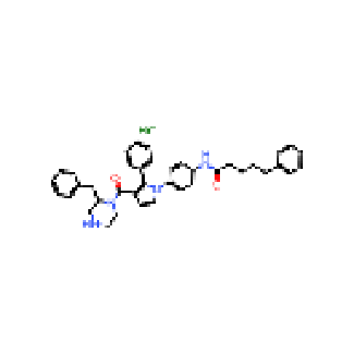 Cl.O=C(CCCCc1ccccc1)Nc1ccc(-n2ccc(C(=O)N3CCNCC3Cc3ccccc3)c2-c2ccccc2)cc1